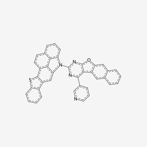 c1cncc(-c2nc(-n3c4cccc5ccc6c7sc8ccccc8c7cc3c6c54)nc3oc4cc5ccccc5cc4c23)c1